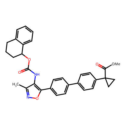 COC(=O)C1(c2ccc(-c3ccc(-c4onc(C)c4NC(=O)OC4CCCc5ccccc54)cc3)cc2)CC1